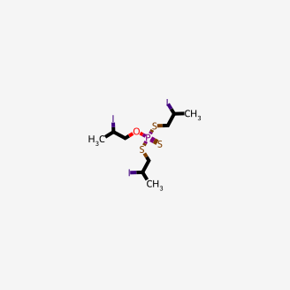 CC(I)COP(=S)(SCC(C)I)SCC(C)I